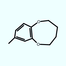 Cc1ccc2c(c1)OCCCCO2